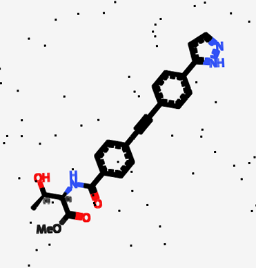 COC(=O)[C@H](NC(=O)c1ccc(C#Cc2ccc(-c3ccn[nH]3)cc2)cc1)[C@@H](C)O